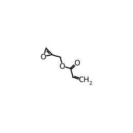 C=CC(=O)OCC1=CO1